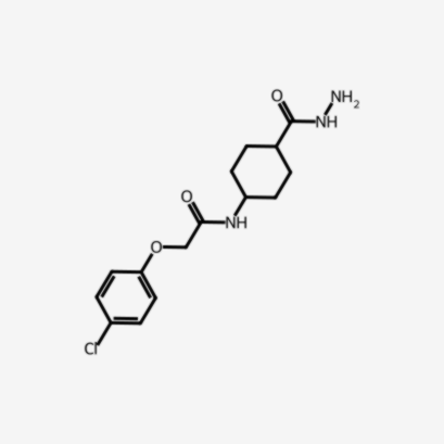 NNC(=O)C1CCC(NC(=O)COc2ccc(Cl)cc2)CC1